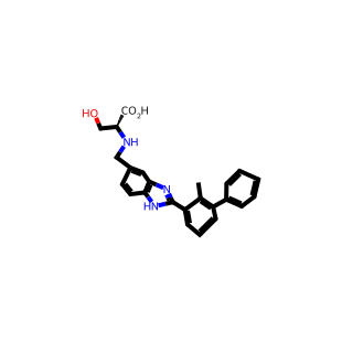 Cc1c(-c2ccccc2)cccc1-c1nc2cc(CN[C@@H](CO)C(=O)O)ccc2[nH]1